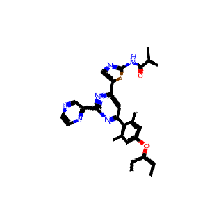 CCC(CC)Oc1cc(C)c(-c2cc(-c3cnc(NC(=O)C(C)C)s3)nc(-c3cnccn3)n2)c(C)c1